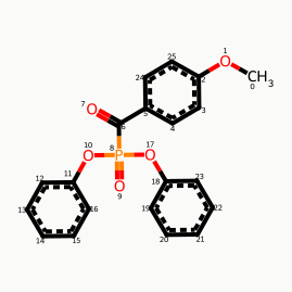 COc1ccc(C(=O)P(=O)(Oc2ccccc2)Oc2ccccc2)cc1